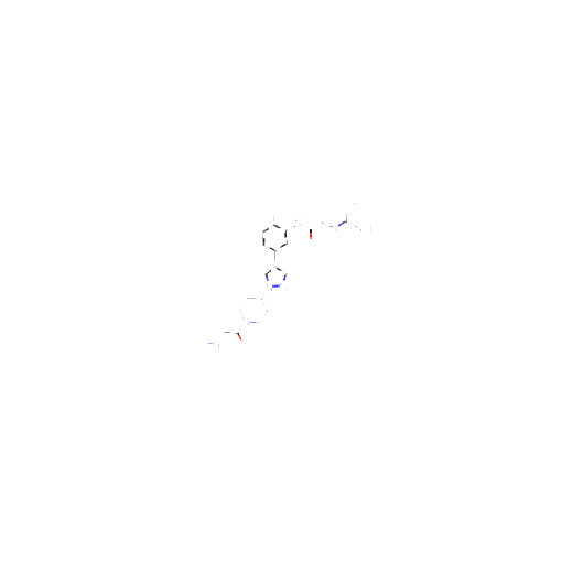 CO/C(N)=N\CC(=O)Nc1cc(-c2cnn(C3CCN(C(=O)CN(C)C)CC3)c2)ccc1Cl